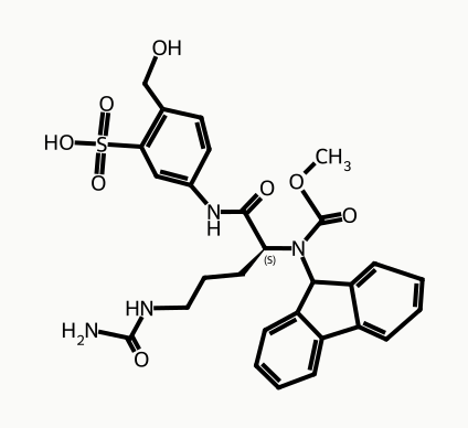 COC(=O)N(C1c2ccccc2-c2ccccc21)[C@@H](CCCNC(N)=O)C(=O)Nc1ccc(CO)c(S(=O)(=O)O)c1